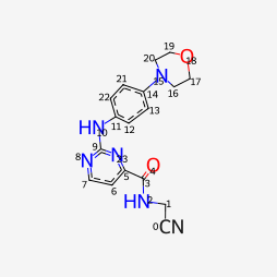 N#CCNC(=O)c1ccnc(Nc2ccc(N3CCOCC3)cc2)n1